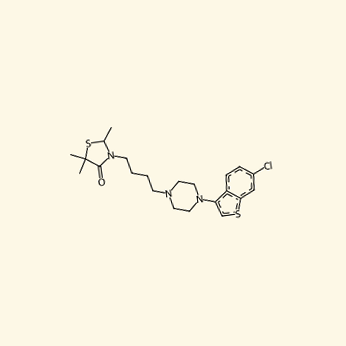 CC1SC(C)(C)C(=O)N1CCCCN1CCN(c2csc3cc(Cl)ccc23)CC1